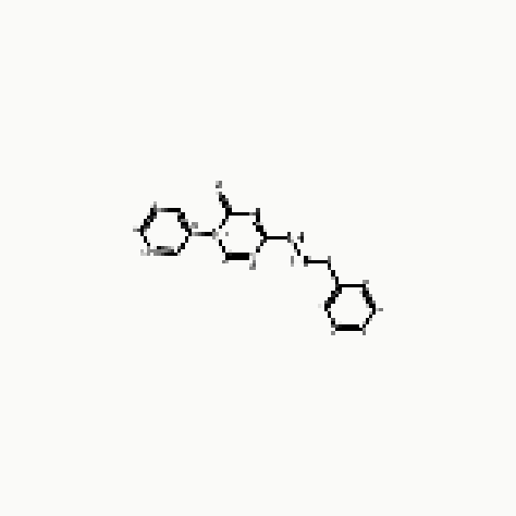 O=c1nc(NNCc2ccccc2)ncn1-c1cccnc1